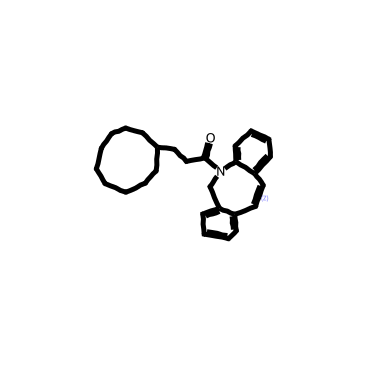 O=C(CCC1CCCCCCCCC1)N1Cc2ccccc2/C=C\c2ccccc21